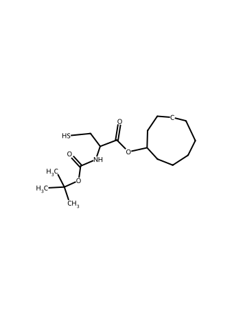 CC(C)(C)OC(=O)NC(CS)C(=O)OC1CCCCCCCC1